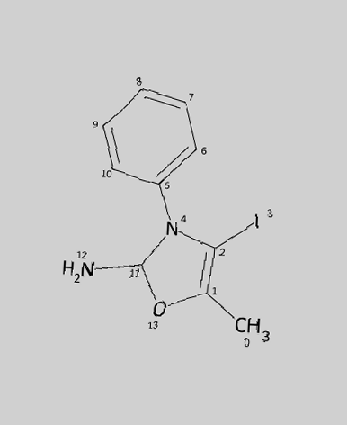 CC1=C(I)N(c2ccccc2)C(N)O1